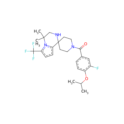 CC(C)Oc1ccc(C(=O)N2CCC3(CC2)NCC(C)(C)n2c(C(F)(F)F)ccc23)cc1F